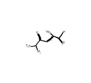 CC(C)C(/C(O)=C/C(=O)C(C)C(F)(F)F)C(C)C